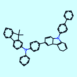 CC1(C)c2ccccc2-c2ccc(N(c3ccccc3)c3ccc(C4=CC5C6=C(C=CCC6)N(c6ccc(-c7ccccc7)cc6)C5C=C4)cc3)cc21